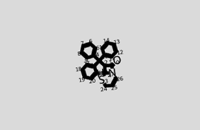 O=C1C(C(c2ccccc2)(c2ccccc2)c2ccccc2)[C@@H]2SCC=CN12